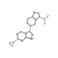 FC(F)c1cnc2ccc(-c3c[nH]c4nc(C5CC5)ncc34)cn12